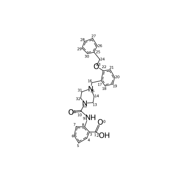 O=C(O)c1ccccc1NC(=O)N1CCN(Cc2ccccc2OCc2ccccc2)CC1